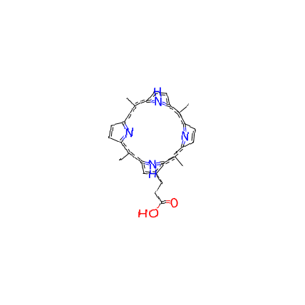 Cc1c2nc(c(C)c3cc(CCC(=O)O)c([nH]3)c(C)c3nc(c(C)c4ccc1[nH]4)C=C3)C=C2